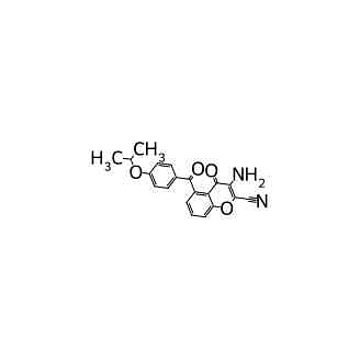 CC(C)Oc1ccc(C(=O)c2cccc3oc(C#N)c(N)c(=O)c23)cc1